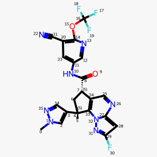 Cn1cc([C@]2(C)C[C@H](C(=O)Nc3cnc(OC(F)(F)F)c(C#N)c3)c3cnc4cc(F)nn4c32)cn1